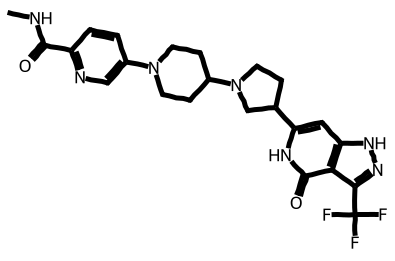 CNC(=O)c1ccc(N2CCC(N3CCC(c4cc5[nH]nc(C(F)(F)F)c5c(=O)[nH]4)C3)CC2)cn1